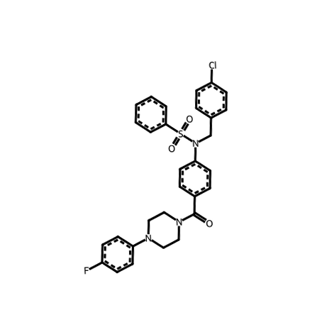 O=C(c1ccc(N(Cc2ccc(Cl)cc2)S(=O)(=O)c2ccccc2)cc1)N1CCN(c2ccc(F)cc2)CC1